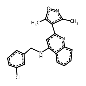 Cc1noc(C)c1-c1cc(NCc2cccc(Cl)c2)c2ccccc2n1